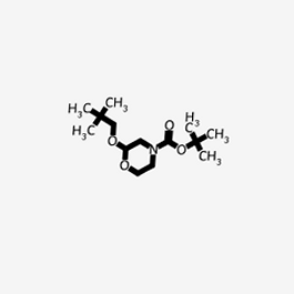 CC(C)(C)COC1CN(C(=O)OC(C)(C)C)CCO1